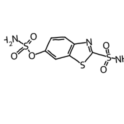 NS(=O)(=O)Oc1ccc2nc(S(N)(=O)=O)sc2c1